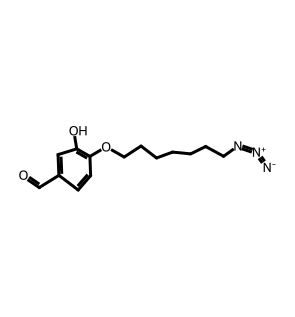 [N-]=[N+]=NCCCCCCCOc1ccc(C=O)cc1O